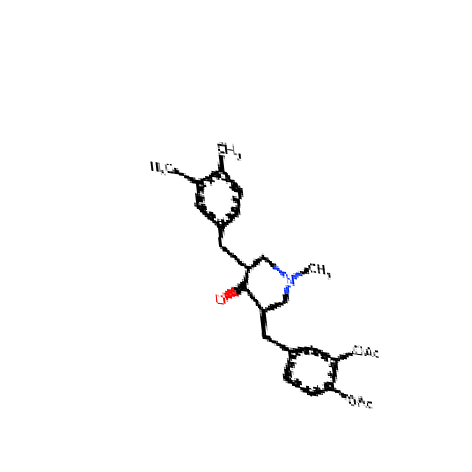 CC(=O)Oc1ccc(CC2CN(C)CC(Cc3ccc(C)c(C)c3)C2=O)cc1OC(C)=O